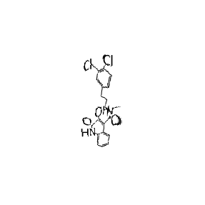 CN(CCCc1ccc(Cl)c(Cl)c1)C(=O)c1c(O)c(=O)[nH]c2ccccc12